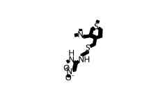 CNC(=C[N+](=O)[O-])NCCSCC1=C(CN(C)C)C=S(C)C=C1